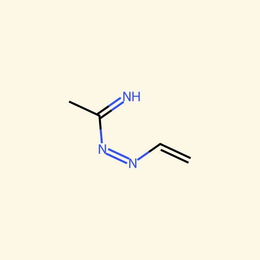 C=C/N=N\C(C)=N